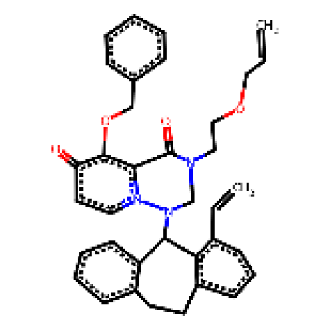 C=CCOCCN1CN(C2c3ccccc3CCc3cccc(C=C)c32)n2ccc(=O)c(OCc3ccccc3)c2C1=O